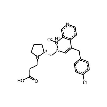 O=C(O)CCN1CCC[C@@H]1CN1C=C(Cc2ccc(Cl)cc2)c2ccncc2[NH+]1[O-]